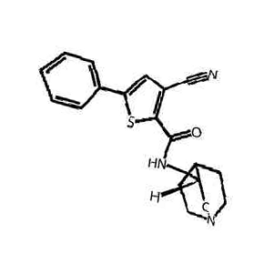 N#Cc1cc(-c2ccccc2)sc1C(=O)N[C@H]1CN2CCC1CC2